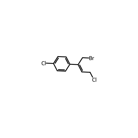 ClCC=C(CBr)c1ccc(Cl)cc1